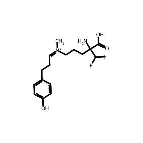 C[N+](=CCCc1ccc(O)cc1)CCCC(N)(C(=O)O)C(F)F